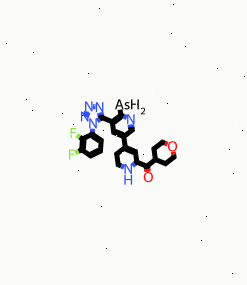 O=C(C1CCOCC1)C1C=C(c2cnc([AsH2])c(-c3nnnn3-c3cccc(F)c3F)c2)CCN1